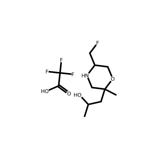 CC(O)CC1(C)CNC(CF)CO1.O=C(O)C(F)(F)F